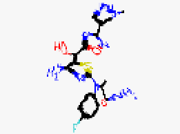 CC(C(N)=O)N(c1ccc(F)cc1)c1nc(N)c(C(O)c2nc(-c3cnn(C)c3)no2)s1